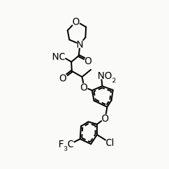 CC(Oc1cc(Oc2ccc(C(F)(F)F)cc2Cl)ccc1[N+](=O)[O-])C(=O)C(C#N)C(=O)N1CCOCC1